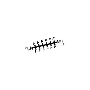 NC(F)(F)C(F)(F)C(F)(F)C(F)(F)C(F)(F)C(N)(F)F